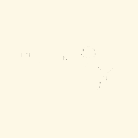 O=C1CCN(Cc2cccn(CCN3CCC(CC4CCNCC4)CC3)c2=O)C(=O)N1